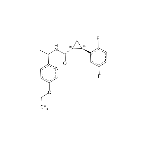 CC(NC(=O)[C@@H]1C[C@H]1c1cc(F)ccc1F)c1ccc(OCC(F)(F)F)cn1